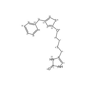 O=c1[nH]cc(CSCCOc2cc(Cc3ccccc3)cs2)[nH]1